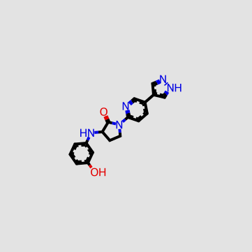 O=C1C(Nc2cccc(O)c2)CCN1c1ccc(-c2cn[nH]c2)cn1